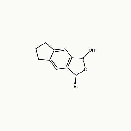 CC[C@@H]1OB(O)c2cc3c(cc21)CCC3